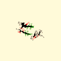 CCC(C(=O)[O-])C(=O)CC(F)(F)C(F)(F)F.CCC(C(=O)[O-])C(=O)CC(F)(F)C(F)(F)F.CCC(C)(C)[O][Zr+2][O]C(C)(C)CC